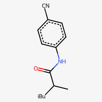 CCC(C)C(C)C(=O)Nc1ccc(C#N)cc1